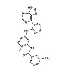 O=C(Nc1cc(Nc2ncccc2-c2ncnc3[nH]cnc23)ccc1F)c1cncc(C(F)(F)F)c1